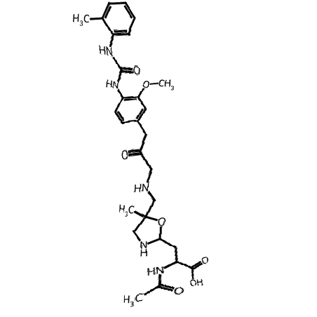 COc1cc(CC(=O)CNCC2(C)CNC(CC(NC(C)=O)C(=O)O)O2)ccc1NC(=O)Nc1ccccc1C